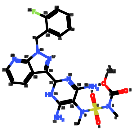 CN(C(=O)OC(C)(C)C)S(=O)(=O)N(C)C1=C(N)NC(c2nn(Cc3ccccc3F)c3ncccc23)N=C1N